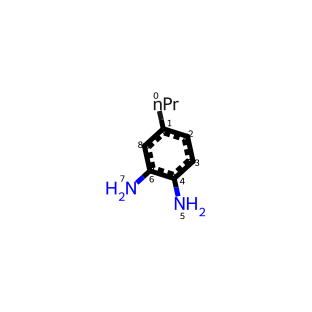 CCCc1ccc(N)c(N)c1